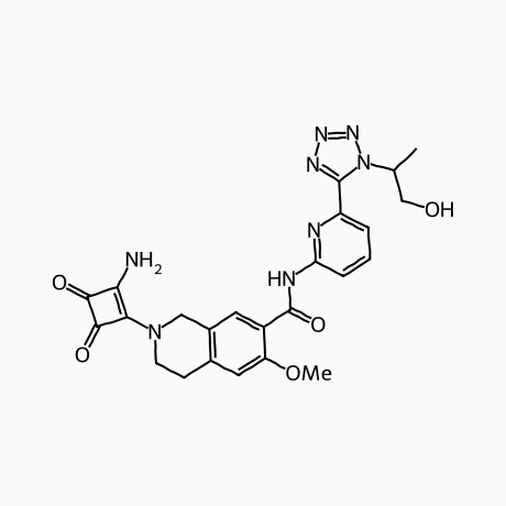 COc1cc2c(cc1C(=O)Nc1cccc(-c3nnnn3C(C)CO)n1)CN(c1c(N)c(=O)c1=O)CC2